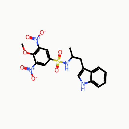 COc1c([N+](=O)[O-])cc(S(=O)(=O)NC(C)Cc2c[nH]c3ccccc23)cc1[N+](=O)[O-]